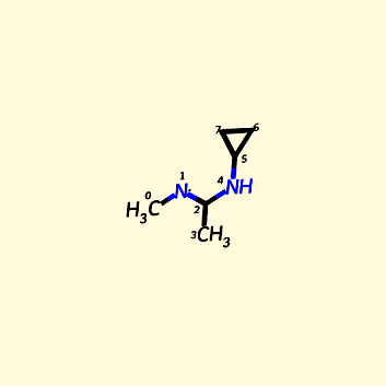 C[N]C(C)NC1CC1